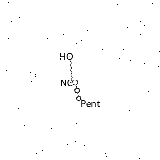 CCCC(C)c1ccc(-c2ccc(C3CCCC(C#N)(CCCCCCCCCCO)C3)cc2)cc1